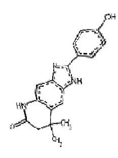 CC1(C)CC(=O)Nc2cc3nc(-c4ccc(O)cc4)[nH]c3cc21